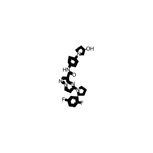 O=C(Nc1ccc(N2CC[C@H](O)C2)cc1)c1cnn2ccc(N3CCC[C@@H]3c3cc(F)ccc3F)nc12